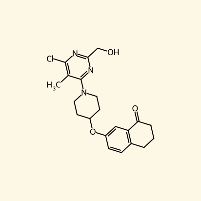 Cc1c(Cl)nc(CO)nc1N1CCC(Oc2ccc3c(c2)C(=O)CCC3)CC1